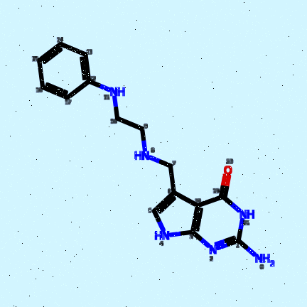 Nc1nc2[nH]cc(CNCCNc3ccccc3)c2c(=O)[nH]1